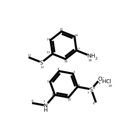 CNc1cccc([S+](C)[O-])c1.CSc1cccc(N)c1.Cl